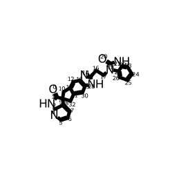 O=C1Nc2ncccc2C12Cc1cc3nc(CCn4c(=O)[nH]c5ccccc54)[nH]c3cc1C2